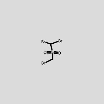 O=S(=O)(CBr)C(Br)Br